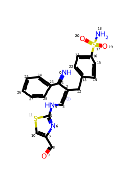 N=C(/C(=C\Nc1nc(C=O)cs1)Cc1ccc(S(N)(=O)=O)cc1)c1ccccc1